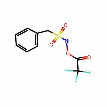 O=C(ONS(=O)(=O)Cc1ccccc1)C(F)(F)F